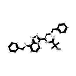 CC(C)(N)C(=O)N[C@H](COCc1ccccc1)c1nnc2c(OCc3ccccc3)cccn12